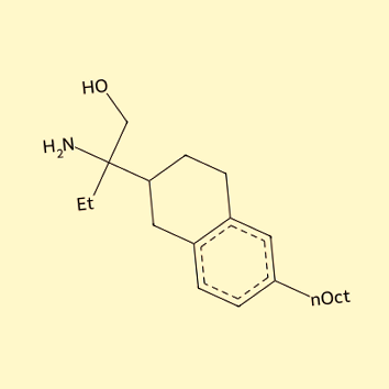 CCCCCCCCc1ccc2c(c1)CCC(C(N)(CC)CO)C2